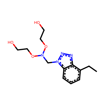 CCc1cccc2c1nnn2CN(OCCO)OCCO